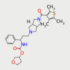 Cc1sc(C)c(C(=O)N2CC3CN(CCC(NC(=O)OC4CCOC4)c4ccccc4)C[C@H]3C2)c1C